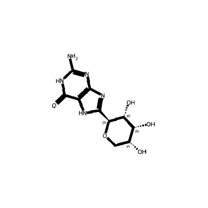 Nc1nc2nc([C@@H]3OC[C@@H](O)[C@@H](O)[C@H]3O)[nH]c2c(=O)[nH]1